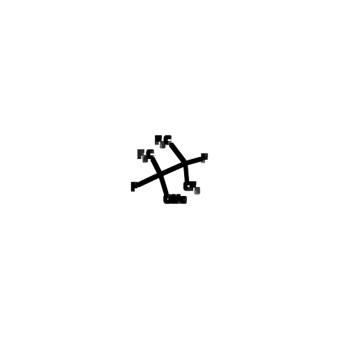 COC(F)(C(F)(F)F)C(F)(C(F)(F)F)C(F)(F)F